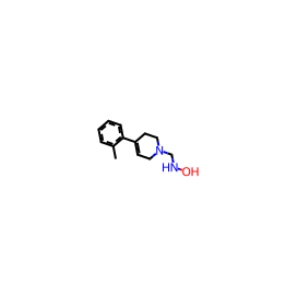 Cc1ccccc1C1=CCN(CNO)CC1